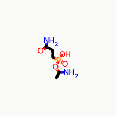 CC(N)OP(=O)(O)CCC(N)=O